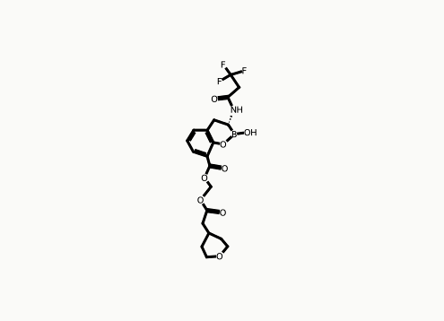 O=C(CC(F)(F)F)N[C@H]1Cc2cccc(C(=O)OCOC(=O)CC3CCOCC3)c2OB1O